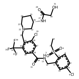 CCS(=O)(=O)c1ccc(Cl)cc1CNC(=O)c1cc(Cl)c(CN2CCC[C@H](NC(=O)CO)C2)c(C(F)(F)F)c1